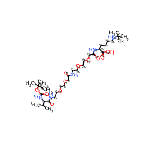 CC(C)C(NC(=O)OC(C)(C)C)C(=O)NCCOCCOCC(=O)NCCOCCOCC(=O)NC(CCCCNC(C)(C)C)C(=O)O